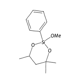 CO[Si]1(c2ccccc2)OC(C)CC(C)(C)O1